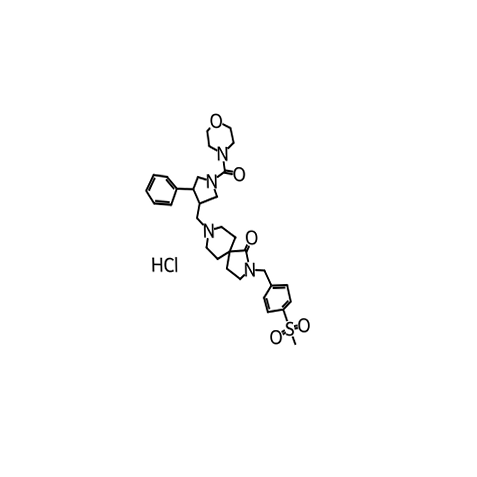 CS(=O)(=O)c1ccc(CN2CCC3(CCN(CC4CN(C(=O)N5CCOCC5)CC4c4ccccc4)CC3)C2=O)cc1.Cl